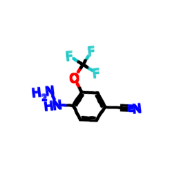 N#Cc1ccc(NN)c(OC(F)(F)F)c1